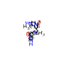 C[C@@H]1NCCn2c1cc(CN(C)Cc1cc3n(c(=O)c1)CCNC3)cc2=O